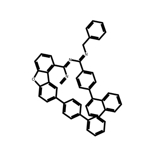 C=N/C(=N\C(=N/Cc1ccccc1)c1ccc(-c2cccc3ccccc23)cc1)c1cccc2oc3ccc(-c4ccc(-c5ccccc5)cc4)cc3c12